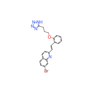 Brc1ccc2ccc(/C=C/c3ccccc3OCCCc3nnn[nH]3)nc2c1